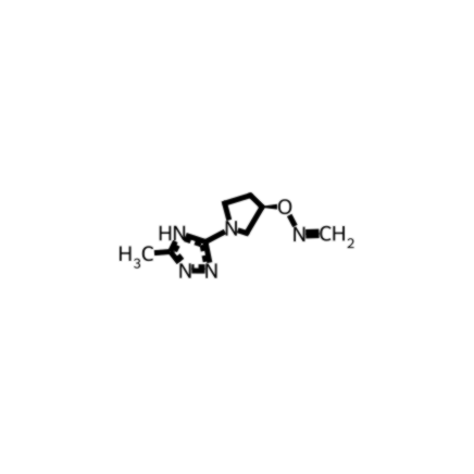 C=NO[C@@H]1CCN(c2nnc(C)[nH]2)C1